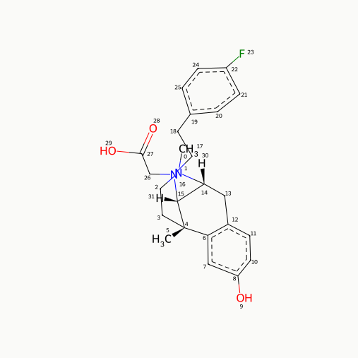 CN1CC[C@@]2(C)c3cc(O)ccc3C[C@@H]1[C@H]2N(CCc1ccc(F)cc1)CC(=O)O